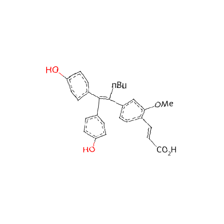 CCCCC(=C(c1ccc(O)cc1)c1ccc(O)cc1)c1ccc(C=CC(=O)O)c(OC)c1